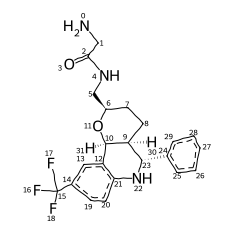 NCC(=O)NC[C@H]1CC[C@@H]2[C@H](O1)c1cc(C(F)(F)F)ccc1N[C@H]2c1ccccc1